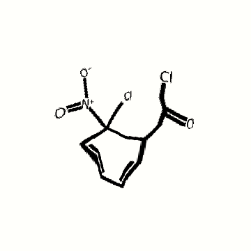 O=C(Cl)C1C=CC=CC1(Cl)[N+](=O)[O-]